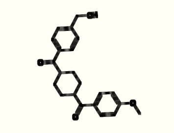 COc1ccc(C(=O)C2CCC(C(=O)c3ccc(CO)cc3)CC2)cc1